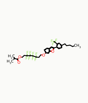 C=C(C)C(=O)OCCC(F)(F)C(F)(F)C(F)(F)C(F)(F)CCOc1ccc2cc(-c3ccc(CCCCC)cc3C(F)(F)F)oc2c1